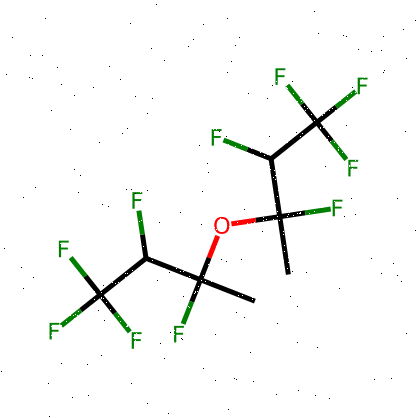 CC(F)(OC(C)(F)C(F)C(F)(F)F)C(F)C(F)(F)F